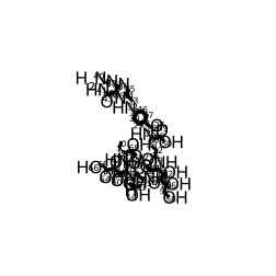 CC[C@H](NC(=O)[C@@H](NC(=O)[C@H](CC(=O)O)NC(=O)[C@@H](NC(=O)CC[C@H](NC(=O)c1ccc(NCc2cnc3nc(N)[nH]c(=O)c3n2)cc1)C(=O)O)[C@@H](O)[C@H](O)[C@H](O)CO)[C@@H](O)[C@H](O)[C@H](O)CO)C(=O)O